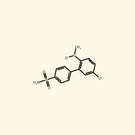 C[S+]([O-])c1ccc(Cl)cc1-c1ccc(S(N)(=O)=O)cc1